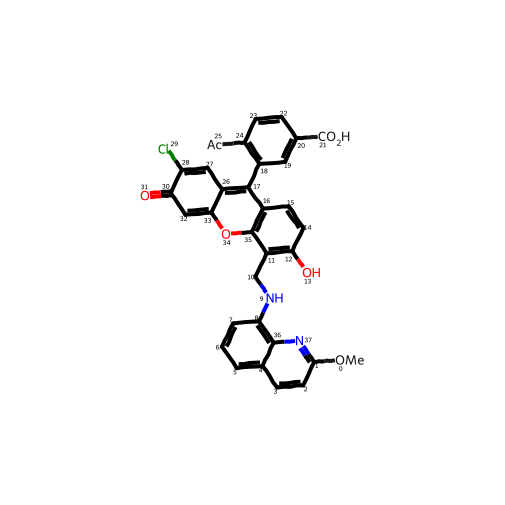 COc1ccc2cccc(NCc3c(O)ccc4c(-c5cc(C(=O)O)ccc5C(C)=O)c5cc(Cl)c(=O)cc-5oc34)c2n1